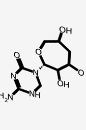 NC1=NC(=O)N([C@@H]2OCC(O)CC(O)C2O)CN1